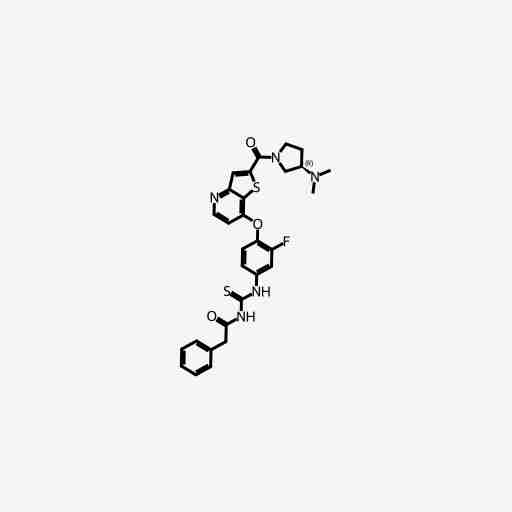 CN(C)[C@@H]1CCN(C(=O)c2cc3nccc(Oc4ccc(NC(=S)NC(=O)Cc5ccccc5)cc4F)c3s2)C1